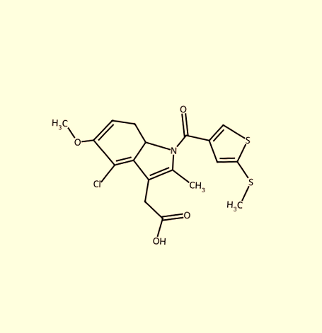 COC1=CCC2C(=C1Cl)C(CC(=O)O)=C(C)N2C(=O)c1csc(SC)c1